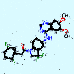 COc1cc2ncnc(Nc3ccc4c(c3)C(F)(F)CN4C(=O)Cc3cc(F)ccc3F)c2cc1OC